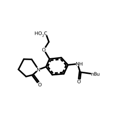 CCCCC(=O)Nc1ccc(N2CCCCC2=O)c(OCC(=O)O)c1